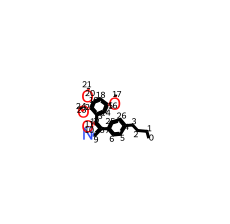 CCCCc1ccc(-c2cnoc2-c2cc(OC)cc(OC)c2OC)cc1